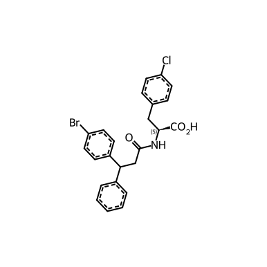 O=C(CC(c1ccccc1)c1ccc(Br)cc1)N[C@@H](Cc1ccc(Cl)cc1)C(=O)O